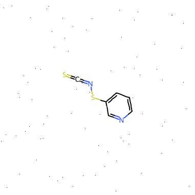 S=C=NSc1cccnc1